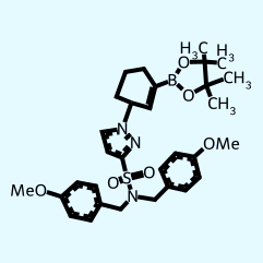 COc1ccc(CN(Cc2ccc(OC)cc2)S(=O)(=O)c2ccn(C3C=C(B4OC(C)(C)C(C)(C)O4)CCC3)n2)cc1